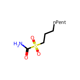 CCCCCCCCS(=O)(=O)C(N)=O